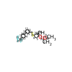 C=C(COc1ccc(SCc2cccc(-c3ccc(C(F)(F)F)cc3)c2)cc1C)OCC